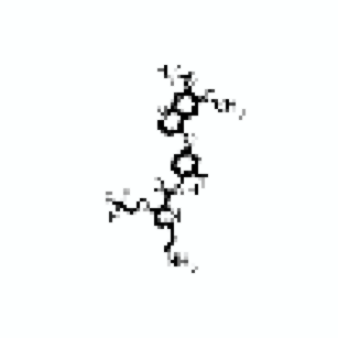 COc1cc2nccc(Oc3ccc(NC(=O)c4nn(CCN)cc4OCC(F)(F)F)c(F)c3)c2cc1OC